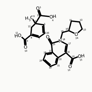 CC1(C(=O)O)C=CC=C(C(=O)O)C1.O=C(O)c1cn(CC2CCCO2)c(=O)c2ccccc12